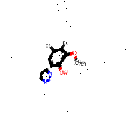 CCCCCCOc1c(O)ccc(CC)c1CC.c1cnnnc1